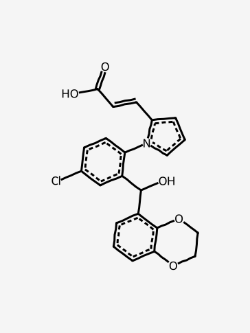 O=C(O)C=Cc1cccn1-c1ccc(Cl)cc1C(O)c1cccc2c1OCCO2